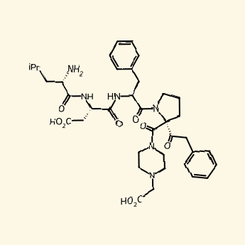 CC(C)C[C@H](N)C(=O)N[C@@H](CC(=O)O)C(=O)N[C@@H](Cc1ccccc1)C(=O)N1CCC[C@@]1(C(=O)Cc1ccccc1)C(=O)N1CCN(CC(=O)O)CC1